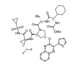 COC(=O)N[C@H](C(=O)N[C@H](C(=O)N1C[C@H](Oc2nc3ccccc3nc2-c2cccs2)C[C@H]1C(=O)N[C@]1(C(=O)NS(=O)(=O)C2CC2)C[C@H]1C(F)F)C(C)(C)C)C1CCCCC1